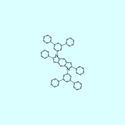 c1ccc(-c2cc(-c3ccccc3)cc(-n3c(-c4ccccc4)cc4cc5c(cc(-c6ccccc6)n5-c5cc(-c6ccccc6)cc(-c6ccccc6)c5)cc43)c2)cc1